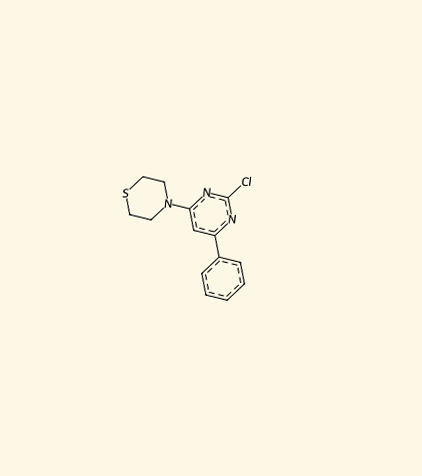 Clc1nc(-c2ccccc2)cc(N2CCSCC2)n1